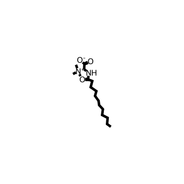 CCCCCCCCCCCC(=O)NC(C(=O)[O-])[N+](C)(C)C